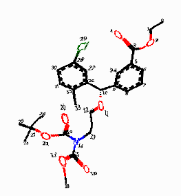 CCOC(=O)c1cccc([C@H](OCCN(C(=O)OC)C(=O)OC(C)(C)C)c2cc(Cl)ccc2C)c1